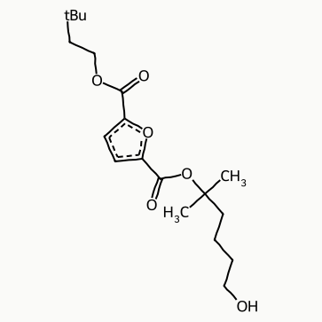 CC(C)(C)CCOC(=O)c1ccc(C(=O)OC(C)(C)CCCCO)o1